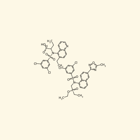 CCOP(=O)(CC)CN(c1cccc2cc(-c3noc(C)n3)ccc12)S(=O)(=O)c1cc(Cl)cc(Cl)c1.CCc1ccc2ncccc2c1N(C(CC)[PH](=O)O)S(=O)(=O)c1cc(Cl)cc(Cl)c1